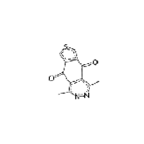 Cc1nnc(C)c2c1C(=O)c1cscc1C2=O